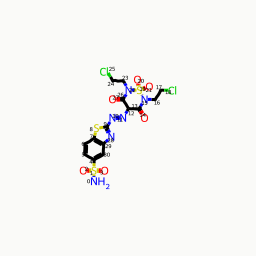 NS(=O)(=O)c1ccc2sc(N=NC3C(=O)N(CCCl)S(=O)(=O)N(CCCl)C3=O)nc2c1